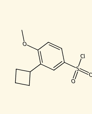 COc1ccc(S(=O)(=O)Cl)cc1C1CCC1